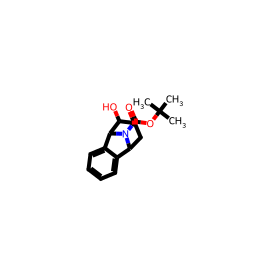 CC(C)(C)OC(=O)N1C2CCC(O)C1c1ccccc12